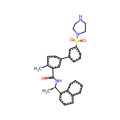 Cc1ccc(-c2cccc(S(=O)(=O)N3CCNCC3)c2)cc1C(=O)N[C@H](C)c1cccc2ccccc12